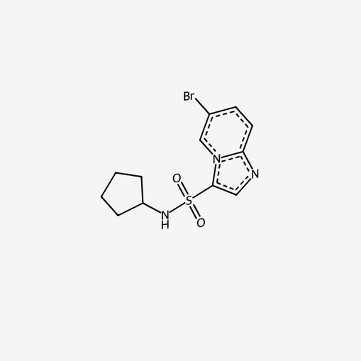 O=S(=O)(NC1CCCC1)c1cnc2ccc(Br)cn12